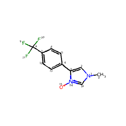 Cn1cc(-c2ccc(C(F)(F)F)cc2)[n+]([O-])c1